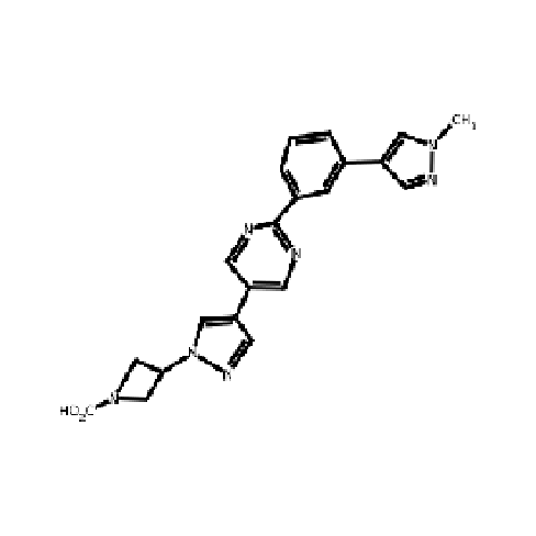 Cn1cc(-c2cccc(-c3ncc(-c4cnn(C5CN(C(=O)O)C5)c4)cn3)c2)cn1